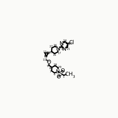 CCS(=O)(=O)N1CCC(COC[C@@H]2C[C@@H]2C2CCN(c3ncc(Cl)cn3)CC2)CC1